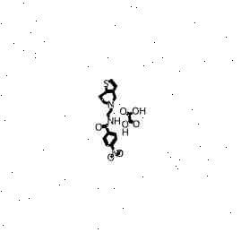 O=C(NCCN1CCc2sccc2C1)c1ccc([N+](=O)[O-])cc1.O=C(O)C(=O)O